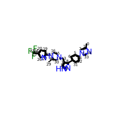 Cc1cn(-c2ccc(-c3n[nH]cc3CN3CCN(c4ccc(C(F)(F)F)cn4)[C@H](C)C3)cc2)cn1